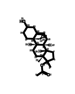 CC(=O)OC1(C)CC[C@H]2[C@@H]3CC=C4CC(O)CC[C@]4(CO)[C@@H]3CC[C@@]21C